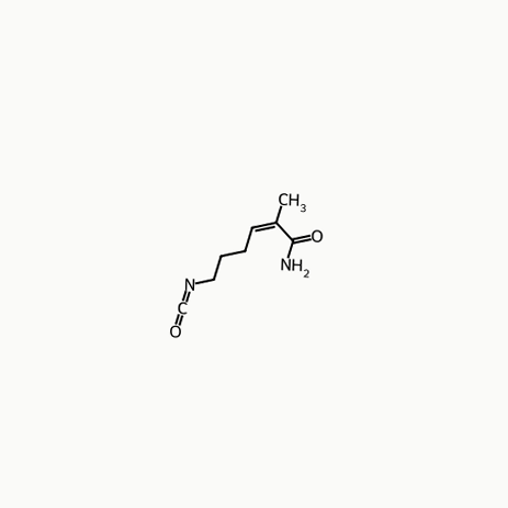 CC(=CCCCN=C=O)C(N)=O